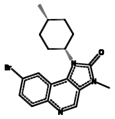 Cn1c(=O)n([C@H]2CC[C@@H](C)CC2)c2c3cc(Br)ccc3ncc21